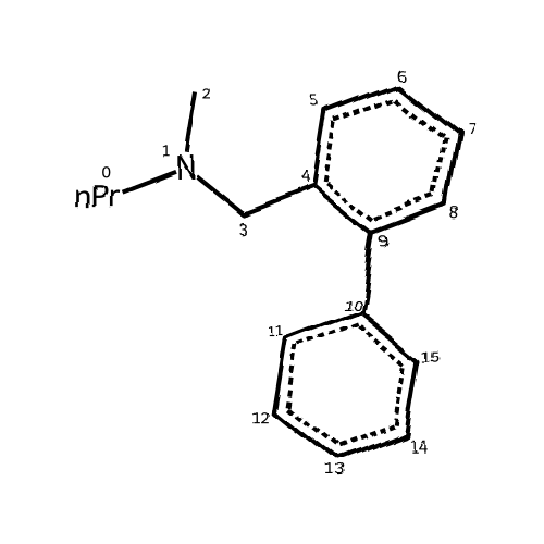 CCCN(C)Cc1ccccc1-c1ccccc1